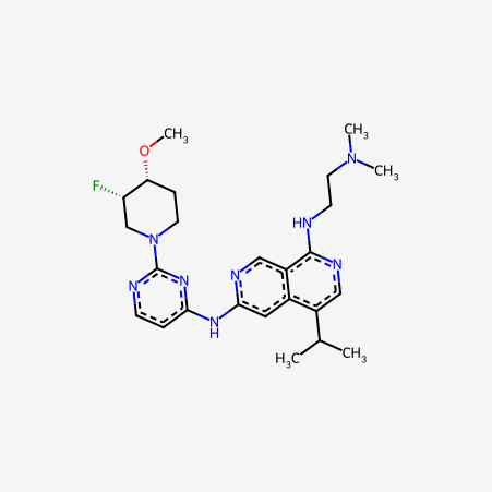 CO[C@@H]1CCN(c2nccc(Nc3cc4c(C(C)C)cnc(NCCN(C)C)c4cn3)n2)C[C@@H]1F